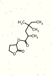 CCC(C)(C)CC(C)C(=O)OC1CCOC1=O